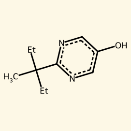 CCC(C)(CC)c1ncc(O)cn1